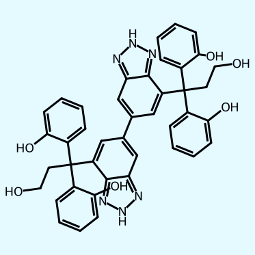 OCCC(c1ccccc1O)(c1ccccc1O)c1cc(-c2cc(C(CCO)(c3ccccc3O)c3ccccc3O)c3n[nH]nc3c2)cc2n[nH]nc12